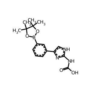 CC1(C)OB(c2cccc(-c3c[nH]c(NC(=O)O)n3)c2)OC1(C)C